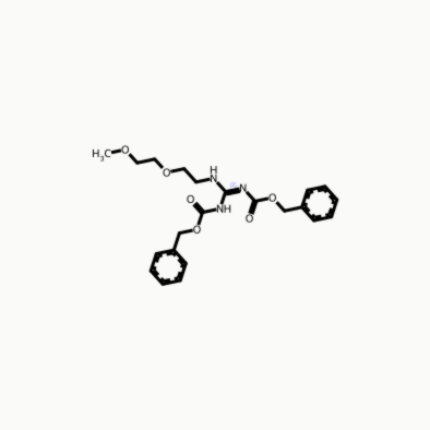 COCCOCCN/C(=N/C(=O)OCc1ccccc1)NC(=O)OCc1ccccc1